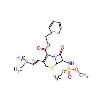 COP(=O)(NC1C(=O)N2C(C(=O)OCc3ccccc3)=C(/C=C/N(C)C)CSC12)OC